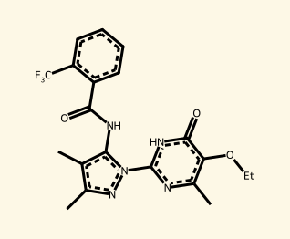 CCOc1c(C)nc(-n2nc(C)c(C)c2NC(=O)c2ccccc2C(F)(F)F)[nH]c1=O